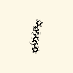 CC(Oc1ncc(C(=O)Nc2nnc(-c3ccncc3)s2)cc1Cl)c1ccccn1